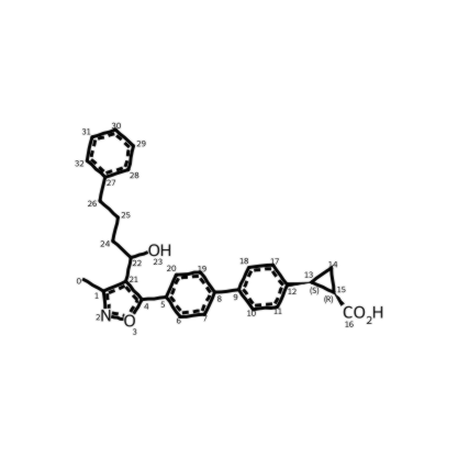 Cc1noc(-c2ccc(-c3ccc([C@H]4C[C@H]4C(=O)O)cc3)cc2)c1C(O)CCCc1ccccc1